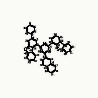 c1ccc(-c2cc(-c3nc(-c4ccc5ccccc5c4)nc(-c4cccc5c4sc4ccccc45)n3)c3c(c2)oc2ccccc23)cc1